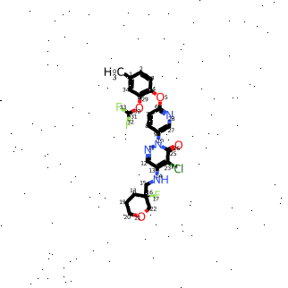 Cc1ccc(Oc2ccc(-n3ncc(NC[C@@]4(F)CCCOC4)c(Cl)c3=O)cn2)c(OC(F)F)c1